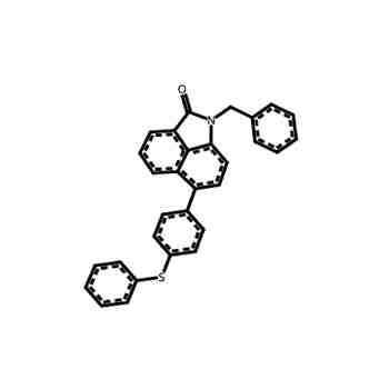 O=C1c2cccc3c(-c4ccc(Sc5ccccc5)cc4)ccc(c23)N1Cc1ccccc1